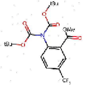 COC(=O)c1cc(C(F)(F)F)ccc1N(C(=O)OC(C)(C)C)C(=O)OC(C)(C)C